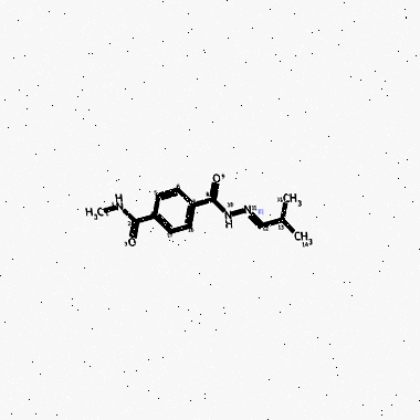 CNC(=O)c1ccc(C(=O)N/N=C/C(C)C)cc1